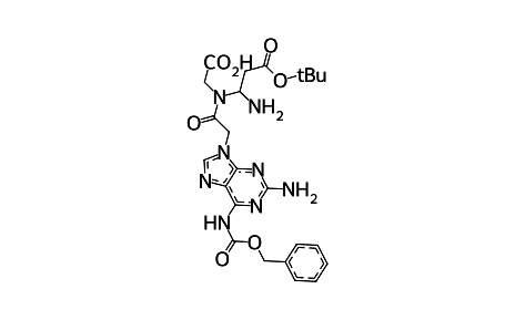 CC(C)(C)OC(=O)CC(N)N(CC(=O)O)C(=O)Cn1cnc2c(NC(=O)OCc3ccccc3)nc(N)nc21